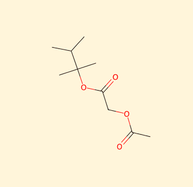 CC(=O)OCC(=O)OC(C)(C)C(C)C